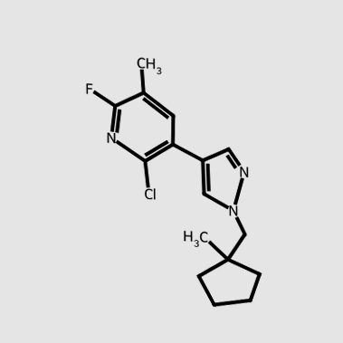 Cc1cc(-c2cnn(CC3(C)CCCC3)c2)c(Cl)nc1F